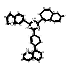 CC1C=CC2C=C(c3nc(-c4ccc5ccccc5c4)nc(C4C=CC(c5cccc6cccnc56)CC4)n3)CC=CC2C1